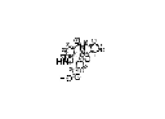 O=C(O)Cc1ccc(OCc2ccccc2CN(C(=O)c2ccc3c(c2)ONO3)C2CC2)cc1